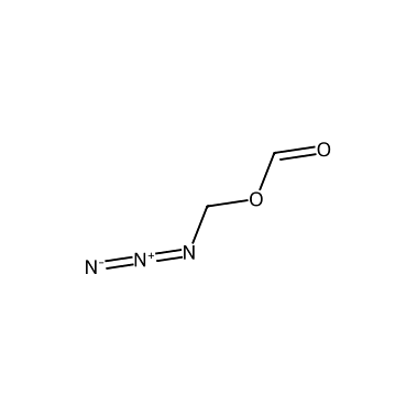 [N-]=[N+]=NCOC=O